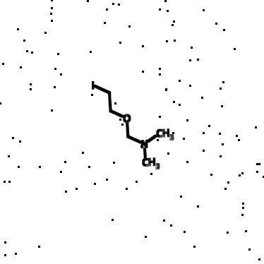 CN(C)COCCI